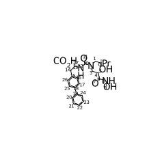 CC(C)CN(C[C@H](O)C(=O)NO)C(=O)N[C@@H](Cc1ccc(-c2ccccc2)cc1)C(=O)O